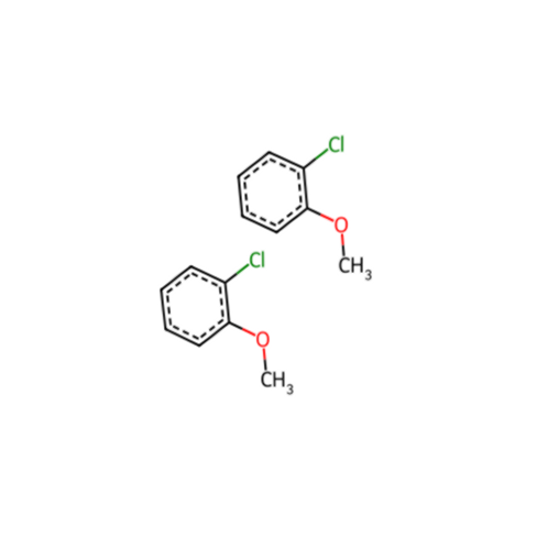 COc1ccccc1Cl.COc1ccccc1Cl